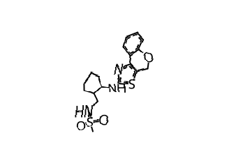 CS(=O)(=O)NCC1CCCCC1Nc1nc2c(s1)COc1ccccc1-2